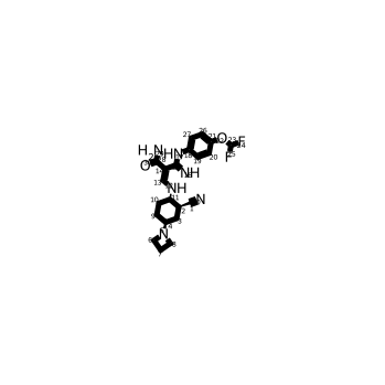 N#C[C@H]1C[C@@H](N2CCC2)CC[C@@H]1N/C=C(\C(=N)Nc1ccc(OC(F)F)cc1)C(N)=O